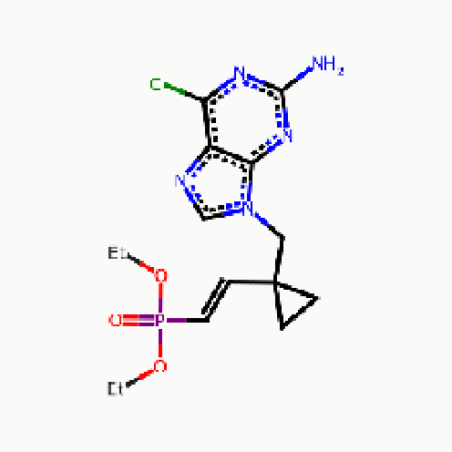 CCOP(=O)(C=CC1(Cn2cnc3c(Cl)nc(N)nc32)CC1)OCC